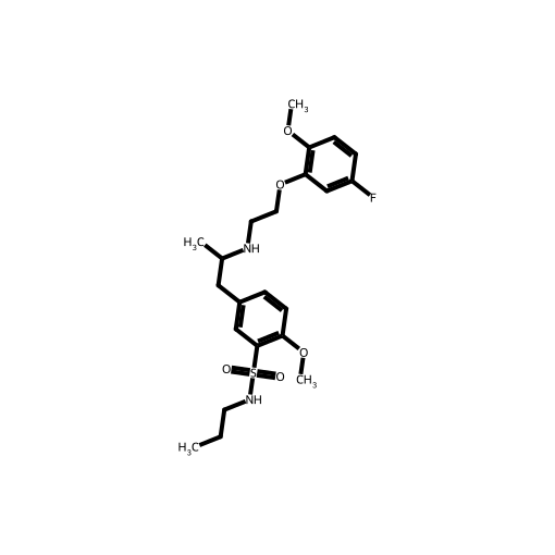 CCCNS(=O)(=O)c1cc(CC(C)NCCOc2cc(F)ccc2OC)ccc1OC